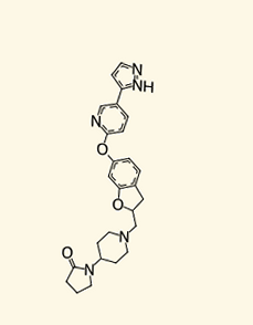 O=C1CCCN1C1CCN(CC2Cc3ccc(Oc4ccc(-c5ccn[nH]5)cn4)cc3O2)CC1